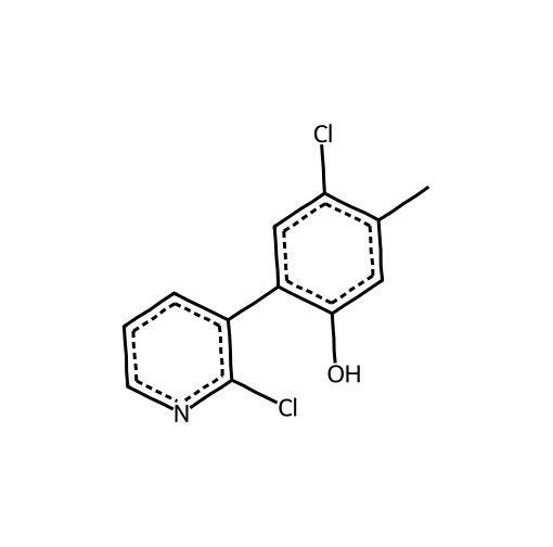 Cc1cc(O)c(-c2cccnc2Cl)cc1Cl